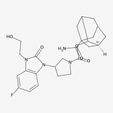 NC(=O)C12CC3CC(C1)C(OC(=O)N1CCC(n4c(=O)n(CCO)c5cc(F)ccc54)C1)[C@@H](C3)C2